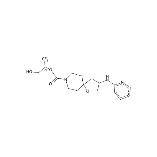 O=C(O[C@H](CO)C(F)(F)F)N1CCC2(CC1)CC(Nc1ccccn1)CO2